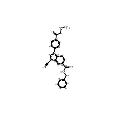 COCC(=O)c1ccc(-n2cc(C#N)c3cc(C(=O)OCc4ccccc4)ccc32)cc1